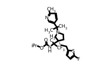 Cc1ccc(C(C)(C)N2CC[C@@](CCc3ccc(F)s3)(C(C)(NC(=O)OC(C)C)C(F)(F)F)C2)cn1